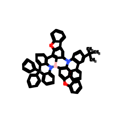 CC(C)(C)c1ccc(N2c3cc4c(cc3B3c5c2cc2c(oc6ccccc62)c5-c2cccc5c2N3c2ccccc2[Si]5(c2ccccc2)c2ccccc2)oc2ccccc24)c(-c2ccccc2)c1